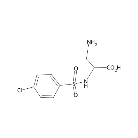 NCC(NS(=O)(=O)c1ccc(Cl)cc1)C(=O)O